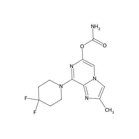 Cc1cn2cc(OC(N)=O)nc(N3CCC(F)(F)CC3)c2n1